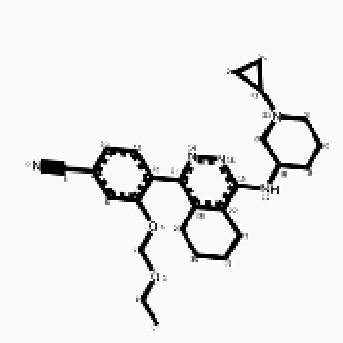 CCOCOc1cc(C#N)ccc1-c1nnc(NC2CCCN(C3CC3)C2)c2c1CCCC2